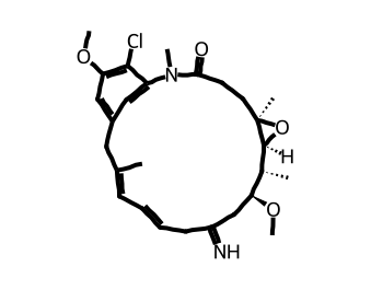 COc1cc2cc(c1Cl)N(C)C(=O)CC[C@@]1(C)O[C@H]1[C@H](C)[C@@H](OC)CC(=N)C/C=C/C=C(\C)C2